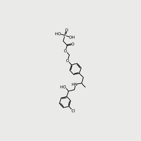 CC(Cc1ccc(OCOC(=O)CP(=O)(O)O)cc1)NCC(O)c1cccc(Cl)c1